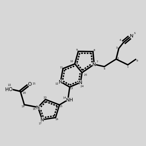 CCC(CC#N)Cn1ccc2cnc(Nc3cnn(CC(=O)O)c3)nc21